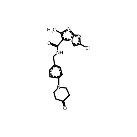 Cc1nc2sc(Cl)cn2c1C(=O)NCc1ccc(N2CCC(=O)CC2)cc1